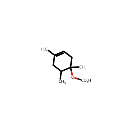 CC1=CCC(C)(OC(=O)O)C(C)C1